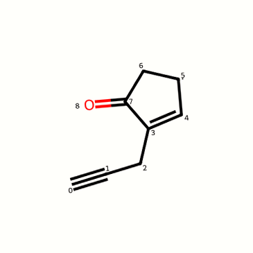 C#CCC1=C[CH]CC1=O